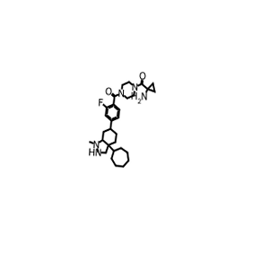 CN1NCC2(C3CCCCCC3)CCC(c3ccc(C(=O)N4CCN(C(=O)C5(N)CC5)CC4)c(F)c3)CC12